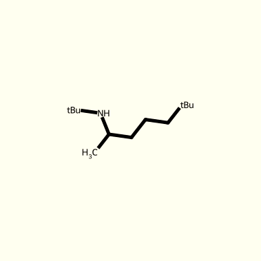 CC(CCCC(C)(C)C)NC(C)(C)C